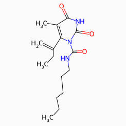 C=C(CC)c1c(C)c(=O)[nH]c(=O)n1C(=O)NCCCCCC